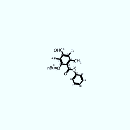 CCCCOc1c(F)c(C=O)c(F)c(C)c1C(=O)Oc1ccccc1